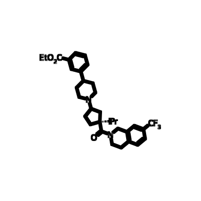 CCOC(=O)c1cccc(C2CCN(C3CC[C@@](C(=O)N4CCc5ccc(C(F)(F)F)cc5C4)(C(C)C)C3)CC2)c1